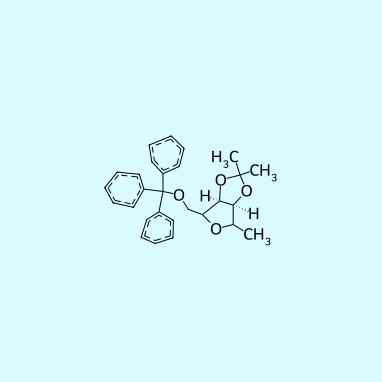 CC1OC(COC(c2ccccc2)(c2ccccc2)c2ccccc2)[C@H]2OC(C)(C)O[C@@H]12